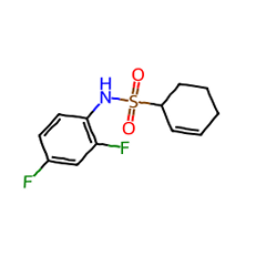 O=S(=O)(Nc1ccc(F)cc1F)C1C=CCCC1